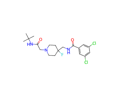 CC(C)(C)NC(=O)CN1CCC(F)(CNC(=O)c2cc(Cl)cc(Cl)c2)CC1